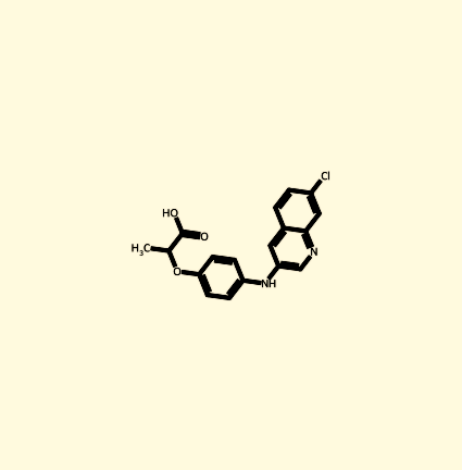 CC(Oc1ccc(Nc2cnc3cc(Cl)ccc3c2)cc1)C(=O)O